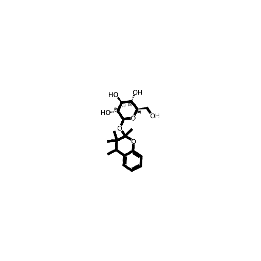 CC1c2ccccc2OC(C)(OC2O[C@H](CO)[C@@H](O)[C@H](O)[C@H]2O)C1(C)C